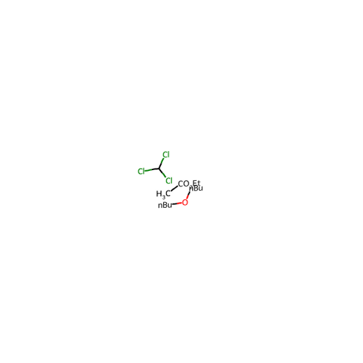 CCCCOCCCC.CCOC(C)=O.ClC(Cl)Cl